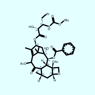 CC(=O)OC1C(=O)[C@]23C[C@H]2C[C@H]2OC[C@@]2(OC(C)=O)[C@H]3[C@H](OC(=O)c2ccccc2)[C@]2(O)C[C@H](OC(=O)[C@H](O)[C@H](CC(C)C)NC(=O)OC(C)(C)C)C(C)=C1C2(C)C